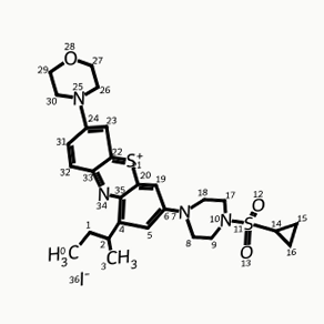 CCC(C)c1cc(N2CCN(S(=O)(=O)C3CC3)CC2)cc2[s+]c3cc(N4CCOCC4)ccc3nc12.[I-]